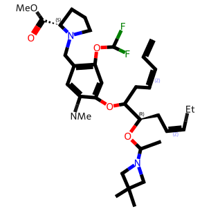 C=C/C=C\CC(Oc1cc(OC(F)F)c(CN2CCC[C@H]2C(=O)OC)cc1NC)[C@@H](C/C=C\CC)OC(C)N1CC(C)(C)C1